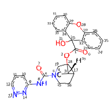 O=C(O[C@H]1C[N+]2(C(=O)Nc3cccnn3)CCC1CC2)C1(O)c2ccccc2Oc2ccccc21